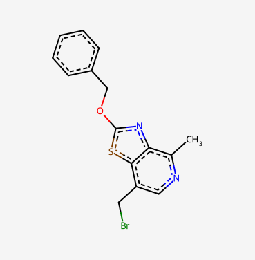 Cc1ncc(CBr)c2sc(OCc3ccccc3)nc12